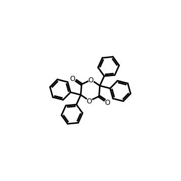 O=C1OC(c2ccccc2)(c2ccccc2)C(=O)OC1(c1ccccc1)c1ccccc1